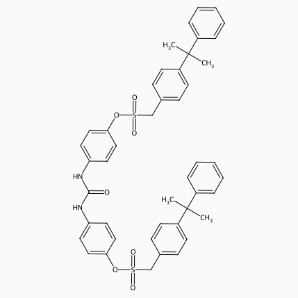 CC(C)(c1ccccc1)c1ccc(CS(=O)(=O)Oc2ccc(NC(=O)Nc3ccc(OS(=O)(=O)Cc4ccc(C(C)(C)c5ccccc5)cc4)cc3)cc2)cc1